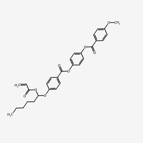 C=CC(=O)OC(CCCCC)Oc1ccc(C(=O)Oc2ccc(OC(=O)c3ccc(OC)cc3)cc2)cc1